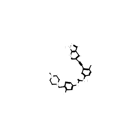 Cc1ccc(NC(=O)Nc2ccc(CN3CCN(C)CC3)c(C(F)(F)F)c2)cc1C#Cc1cnc2[nH]ncc2c1